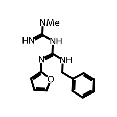 CNC(=N)NC(=Nc1ccco1)NCc1ccccc1